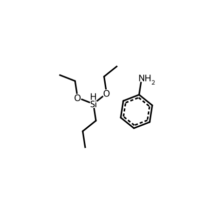 CCC[SiH](OCC)OCC.Nc1ccccc1